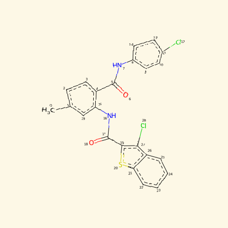 Cc1ccc(C(=O)Nc2ccc(Cl)cc2)c(NC(=O)c2sc3ccccc3c2Cl)c1